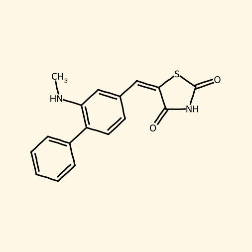 CNc1cc(C=C2SC(=O)NC2=O)ccc1-c1ccccc1